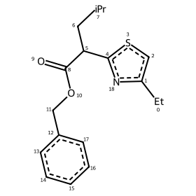 CCc1csc(C(CC(C)C)C(=O)OCc2ccccc2)n1